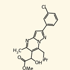 COC(=O)C(O)c1c(C)nc2cc(-c3cccc(Cl)c3)nn2c1CC(C)C